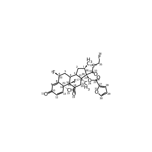 C[C@@H]1CC2C3C[C@H](F)C4=CC(=O)C=C[C@]4(C)[C@@]3(F)C(=O)C[C@]2(C)[C@@]1(OC(=O)c1ccco1)C(=O)SCF